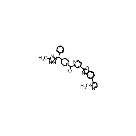 Cc1nnn([C@@H](c2ccccc2)C2CCN(C(=O)c3cc(-c4nc5cc(-c6ccnn6C)ccc5o4)ccn3)CC2)n1